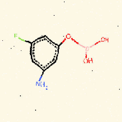 Nc1cc(F)cc(OB(O)O)c1